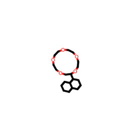 C1CCC2C(C1)CCCC2C1COCCOCCOCCOCCO1